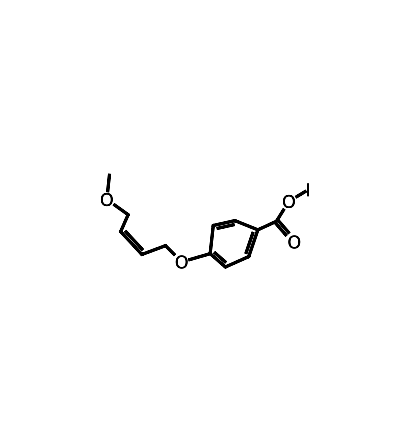 COC/C=C\COc1ccc(C(=O)OI)cc1